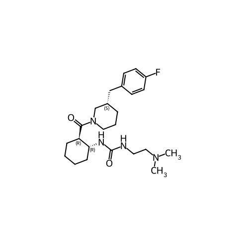 CN(C)CCNC(=O)N[C@@H]1CCCC[C@H]1C(=O)N1CCC[C@@H](Cc2ccc(F)cc2)C1